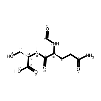 NC(=O)CC[C@H](NC=O)C(=O)N[C@@H](CO)C(=O)O